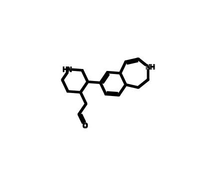 O=CCC1CCNCC1C1=CC2C=CNCCC2C=C1